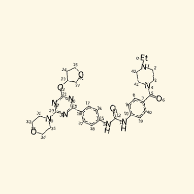 CCN1CCN(C(=O)c2ccc(NC(=O)Nc3ccc(-c4nc(OC5CCOC5)nc(N5CCOCC5)n4)cc3)cc2)CC1